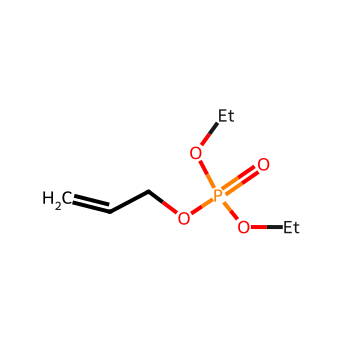 C=CCOP(=O)(OCC)OCC